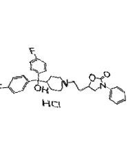 Cl.O=C1OC(CCN2CCC(C(O)(c3ccc(F)cc3)c3ccc(F)cc3)CC2)CN1c1ccccc1